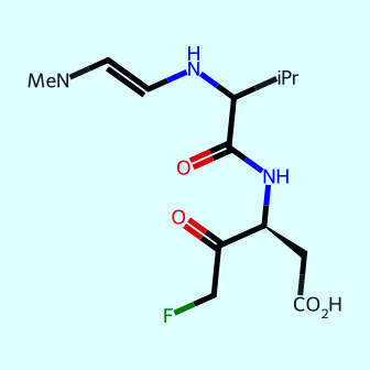 CN/C=C/NC(C(=O)N[C@@H](CC(=O)O)C(=O)CF)C(C)C